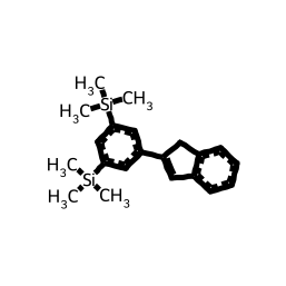 C[Si](C)(C)c1cc(C2=Cc3ccccc3C2)cc([Si](C)(C)C)c1